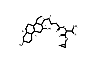 CCCC(N)C(OC(=O)CC[C@@H](C)[C@H]1CCC2C3CC[C@@H]4C[C@H](O)CC[C@]4(C)C3C[C@H](O)[C@@]21C)C(=O)NC1CC1